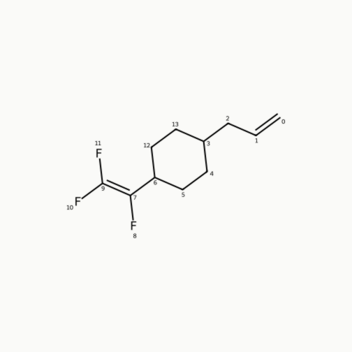 C=CCC1CCC(C(F)=C(F)F)CC1